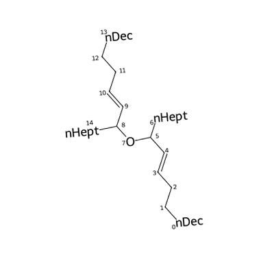 CCCCCCCCCCCCC=CC(CCCCCCC)OC(C=CCCCCCCCCCCCC)CCCCCCC